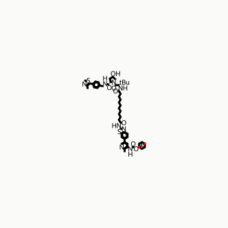 Cc1ncc(-c2ccc3nc(NC(=O)CCCCCCCCCCC(=O)N[C@H](C(=O)N4C[C@H](O)C[C@H]4C(=O)NCc4ccc(-c5scnc5C)cc4)C(C)(C)C)sc3c2)cc1NC(=O)OC12CCC(CC1)CC2